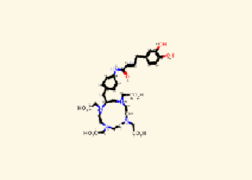 O=C(O)CN1CCN(CC(=O)O)CCN(CC(=O)O)C(Cc2ccc(NC(=O)/C=C/Cc3ccc(O)c(O)c3)cc2)CN(CC(=O)O)CC1